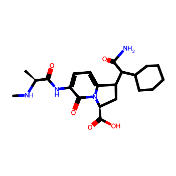 CN[C@@H](C)C(=O)Nc1ccc2n(c1=O)[C@H](C(=O)O)CC2C(C(N)=O)C1CCCCC1